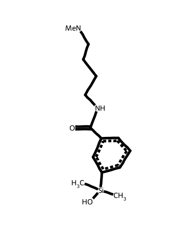 CNCCCCNC(=O)c1cccc([Si](C)(C)O)c1